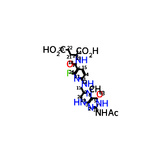 CC(=O)Nc1nc2c(c(=O)[nH]1)N(C)C(CNc1ccc(C(=O)N[C@@H](CCC(=O)O)C(=O)O)c(F)n1)CN2